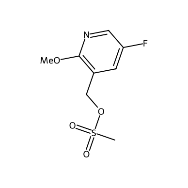 COc1ncc(F)cc1COS(C)(=O)=O